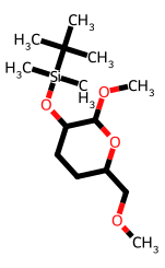 COCC1CCC(O[Si](C)(C)C(C)(C)C)C(OC)O1